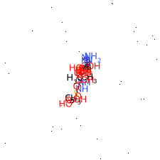 COc1cc(C(O)CC(=O)SCCNC(=O)CCNC(=O)C(O)C(C)(C)COP(=O)(O)OP(=O)(O)OC[C@H]2O[C@@H](n3cnc4c(N)ncnc43)[C@H](O)[C@@H]2OP(=O)(O)O)ccc1O